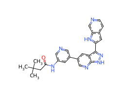 CC(C)(C)CC(=O)Nc1cncc(-c2cnc3[nH]nc(-c4cc5ccncc5[nH]4)c3c2)c1